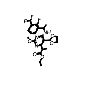 CCOC(=O)C(C)c1nc(OC)nc(NC(C)c2cccc(C(F)F)c2F)c1C1OCCO1